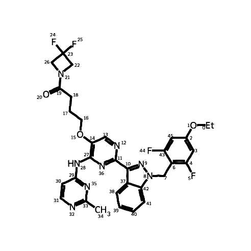 CCOc1cc(F)c(Cn2nc(-c3ncc(OCCCC(=O)N4CC(F)(F)C4)c(Nc4ccnc(C)n4)n3)c3ccccc32)c(F)c1